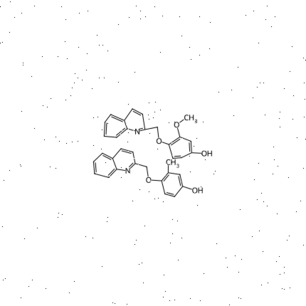 COc1cc(O)ccc1OCc1ccc2ccccc2n1.Cc1cc(O)ccc1OCc1ccc2ccccc2n1